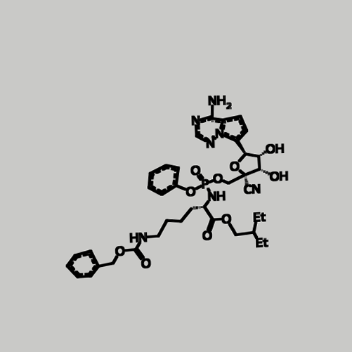 CCC(CC)COC(=O)[C@H](CCCCNC(=O)OCc1ccccc1)NP(=O)(OC[C@@]1(C#N)O[C@@H](c2ccc3c(N)ncnn23)[C@H](O)[C@@H]1O)Oc1ccccc1